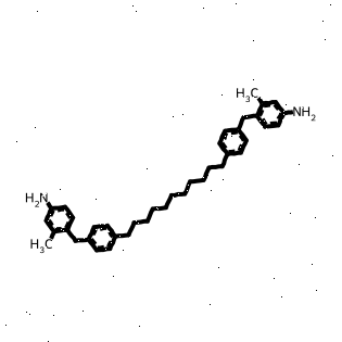 Cc1cc(N)ccc1Cc1ccc(CCCCCCCCCCCc2ccc(Cc3ccc(N)cc3C)cc2)cc1